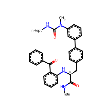 CCCCCCCNC(=O)N(C)c1cccc(-c2ccc(C[C@H](Nc3ccccc3C(=O)c3ccccc3)C(=O)NCCCC)cc2)c1